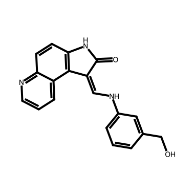 O=C1Nc2ccc3ncccc3c2C1=CNc1cccc(CO)c1